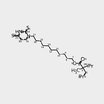 CC(C)CC(C)(C(=O)OCCCCCCCCCCCn1ccc(=S)[nH]c1=S)C(C)C